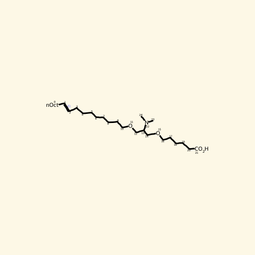 CCCCCCCC/C=C/CCCCCCCCOCC(COCCCCCC(=O)O)N(C)C